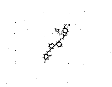 O=C(O)c1ccc2nc(CCc3cc(-c4cccc(OCc5ccc(Cl)cc5F)n4)ccn3)n(C[C@@H]3CCO3)c2n1